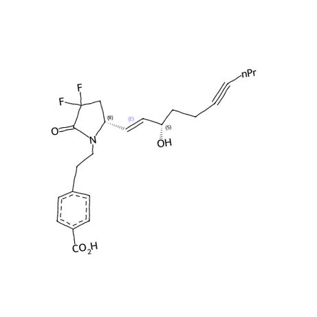 CCCC#CCC[C@H](O)/C=C/[C@H]1CC(F)(F)C(=O)N1CCc1ccc(C(=O)O)cc1